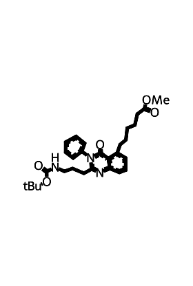 COC(=O)CCCCCc1cccc2nc(CCCNC(=O)OC(C)(C)C)n(-c3ccccc3)c(=O)c12